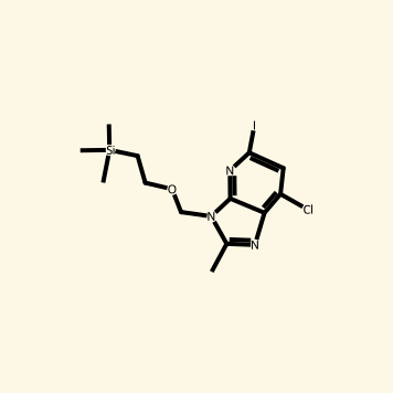 Cc1nc2c(Cl)cc(I)nc2n1COCC[Si](C)(C)C